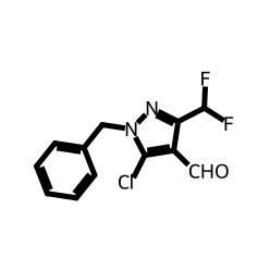 O=Cc1c(C(F)F)nn(Cc2ccccc2)c1Cl